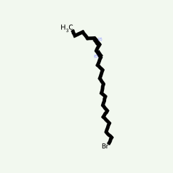 CCCC/C=C\C=C\CCCCCCCCCCCCBr